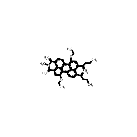 C=C(CCC)c1ccc2c3c(OCC)cc4c5c(ccc(c6c(OCC)cc(C(=C)CCC)c1c26)c53)C(=C)N(C)C4=C